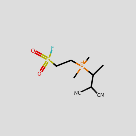 CC(C(C#N)C#N)[PH](C)(C)CCS(=O)(=O)F